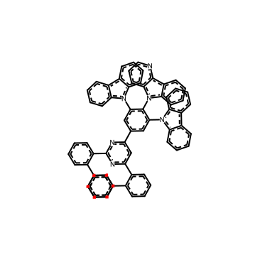 c1ccc(-c2ccccc2-c2cc(-c3cc(-n4c5ccccc5c5ccccc54)c(-n4c5ccccc5c5ncccc54)c(-n4c5ccccc5c5ccccc54)c3)nc(-c3ccccc3-c3ccccc3)n2)cc1